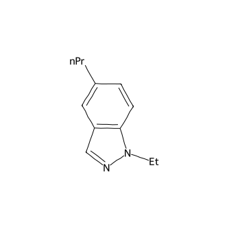 [CH2]CCc1ccc2c(cnn2CC)c1